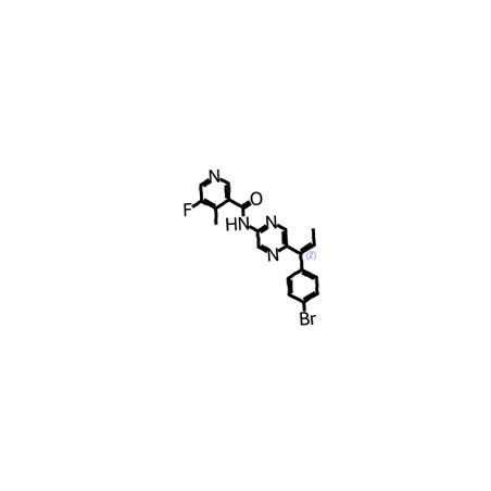 C/C=C(/c1ccc(Br)cc1)c1cnc(NC(=O)c2cncc(F)c2C)cn1